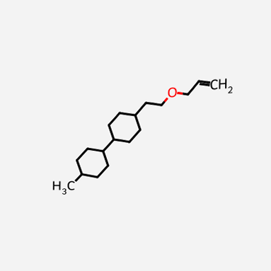 C=CCOCCC1CCC(C2CCC(C)CC2)CC1